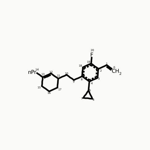 C=Cc1cc(C2CC2)c(CCC2C=C(CCC)CCC2)cc1F